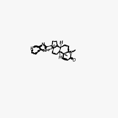 CN1C(=O)C=C[C@@]2(C)C1CC[C@@H]1[C@H]2CC[C@]2(C)C(c3nc4cnccc4[nH]3)CC[C@@H]12